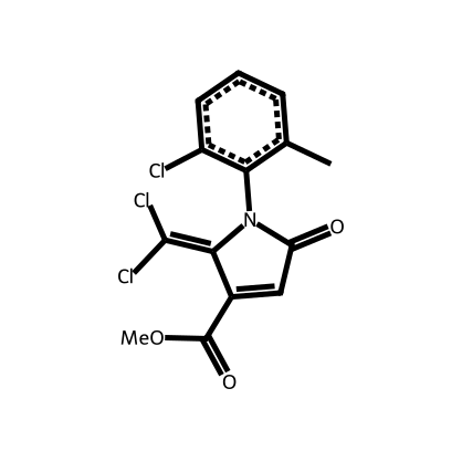 COC(=O)C1=CC(=O)N(c2c(C)cccc2Cl)C1=C(Cl)Cl